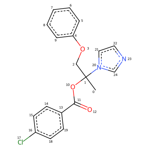 CC(COc1ccccc1)(OC(=O)c1ccc(Cl)cc1)n1ccnc1